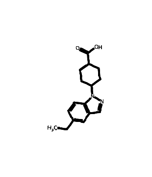 CCc1ccc2c(cnn2C2CCC(C(=O)O)CC2)c1